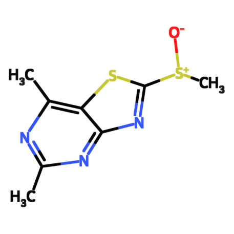 Cc1nc(C)c2sc([S+](C)[O-])nc2n1